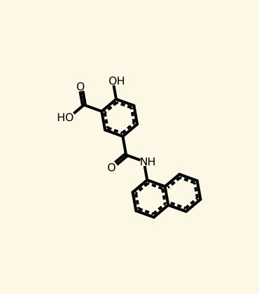 O=C(Nc1cccc2ccccc12)c1ccc(O)c(C(=O)O)c1